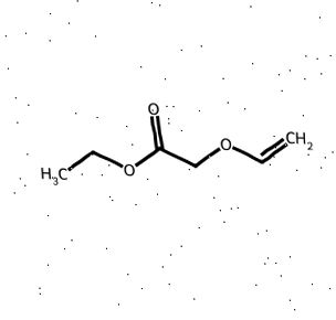 C=COCC(=O)OCC